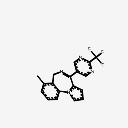 Cc1cccc2c1CN=C(c1cnc(C(F)(F)F)nc1)c1cccn1-2